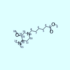 COC(=O)CCCCCN1CC[C@@H](N(C)C)[C@@H](OC)C1